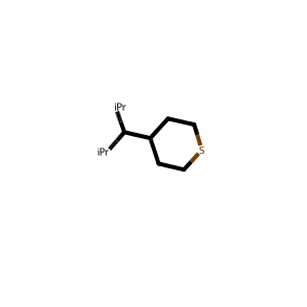 CC(C)C(C(C)C)C1CCSCC1